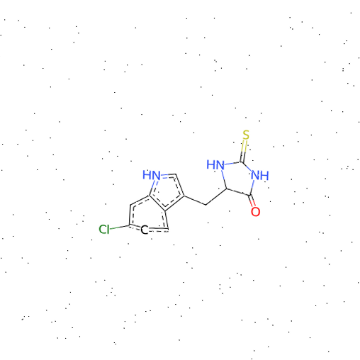 O=C1NC(=S)NC1Cc1c[nH]c2cc(Cl)ccc12